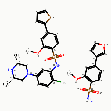 COc1cc(-c2cccs2)ccc1S(=O)(=O)Nc1cc(N2C[C@@H](C)N[C@@H](C)C2)ccc1F.COc1cc(-c2ccoc2)ccc1S(N)(=O)=O